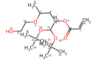 C=CC(=O)O[SiH](CC(C)OCCO)C(O[Si](C)(C)C)O[Si](C)(C)C